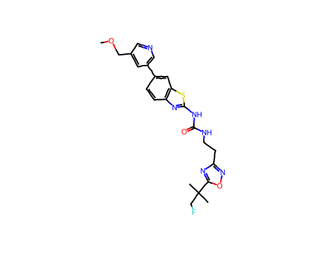 COCc1cncc(-c2ccc3nc(NC(=O)NCCc4noc(C(C)(C)CF)n4)sc3c2)c1